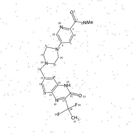 CNC(=O)c1ccc(N2CCN(Cc3ccc4nc(C(C)(F)F)c(=O)[nH]c4c3)CC2)cn1